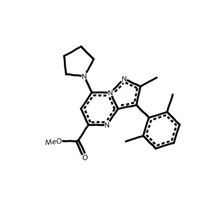 COC(=O)c1cc(N2CCCC2)n2nc(C)c(-c3c(C)cccc3C)c2n1